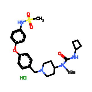 CCCCN(C(=O)NC1CCC1)C1CCN(Cc2ccc(Oc3ccc(NS(C)(=O)=O)cc3)cc2)CC1.Cl